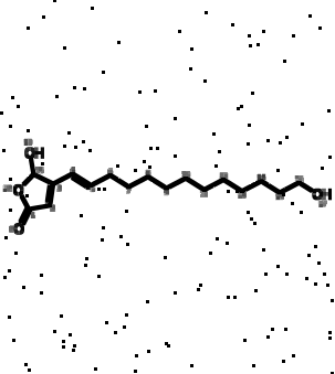 O=C1C=C(C=CCCCCCCCCCCCO)C(O)O1